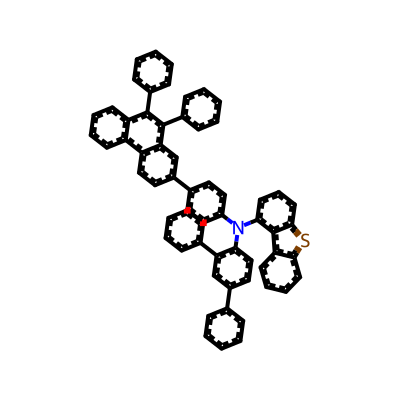 c1ccc(-c2ccc(N(c3ccc(-c4ccc5c(c4)c(-c4ccccc4)c(-c4ccccc4)c4ccccc45)cc3)c3cccc4sc5ccccc5c34)c(-c3ccccc3)c2)cc1